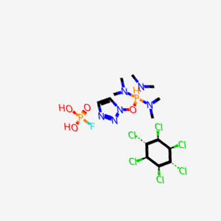 CN(C)[PH](On1ccnn1)(N(C)C)N(C)C.Cl[C@H]1[C@H](Cl)[C@@H](Cl)[C@@H](Cl)[C@H](Cl)[C@H]1Cl.O=P(O)(O)F